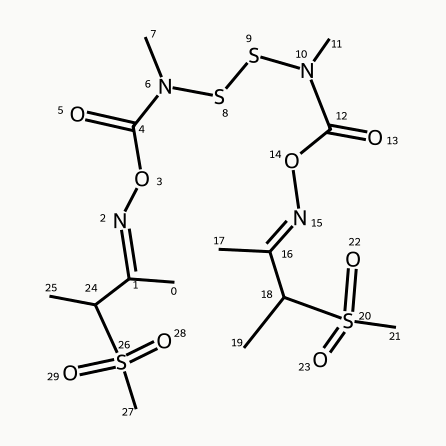 CC(=NOC(=O)N(C)SSN(C)C(=O)ON=C(C)C(C)S(C)(=O)=O)C(C)S(C)(=O)=O